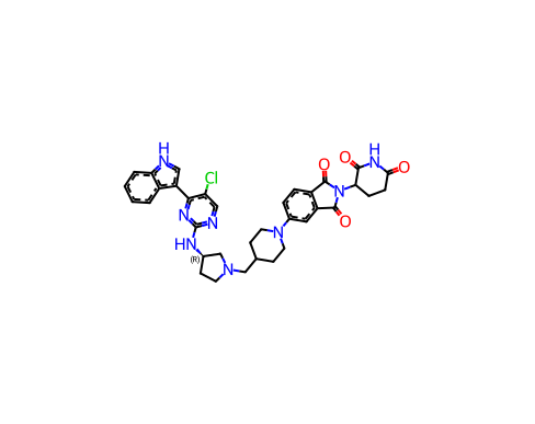 O=C1CCC(N2C(=O)c3ccc(N4CCC(CN5CC[C@@H](Nc6ncc(Cl)c(-c7c[nH]c8ccccc78)n6)C5)CC4)cc3C2=O)C(=O)N1